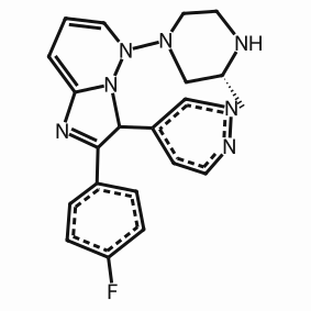 C[C@@H]1CN(N2C=CC=C3N=C(c4ccc(F)cc4)C(c4ccnnc4)N32)CCN1